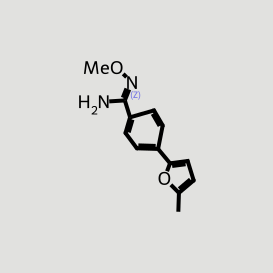 CO/N=C(\N)c1ccc(-c2ccc(C)o2)cc1